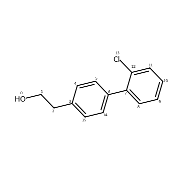 OCCc1ccc(-c2ccccc2Cl)cc1